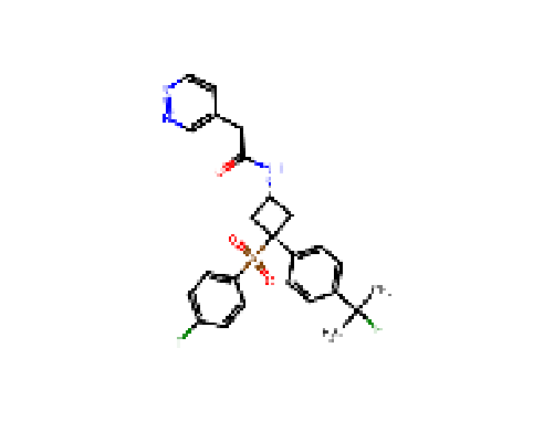 O=C(Cc1ccnnc1)N[C@H]1C[C@@](c2ccc(C(F)(C(F)(F)F)C(F)(F)F)cc2)(S(=O)(=O)c2ccc(F)cc2)C1